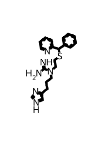 N=C(N)N(CCCc1c[nH]cn1)CCSC(c1ccccc1)c1ccccn1